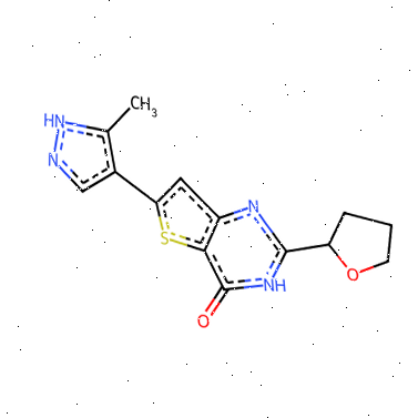 Cc1[nH]ncc1-c1cc2nc(C3CCCO3)[nH]c(=O)c2s1